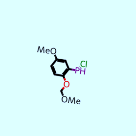 COCOc1ccc(OC)cc1PCl